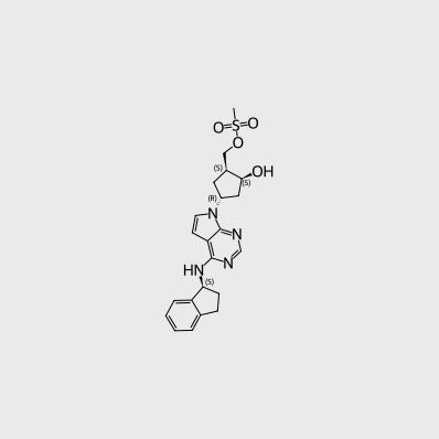 CS(=O)(=O)OC[C@@H]1C[C@@H](n2ccc3c(N[C@H]4CCc5ccccc54)ncnc32)C[C@@H]1O